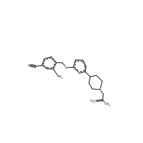 C=C(C)CN1CCC(c2cccc(OCc3ccc(C#N)cc3P)n2)CC1